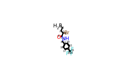 BCCC(Br)C(=O)NCc1ccc(C(F)(F)F)cc1